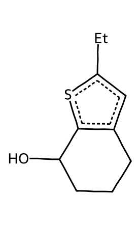 CCc1cc2c(s1)C(O)CCC2